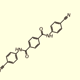 N#Cc1ccc(NC(=O)c2ccc(C(=O)Nc3ccc(C#N)cc3)cc2)cc1